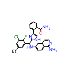 CCc1cc(Cl)c(F)c(C(Nc2ccc3c(N)nccc3c2)c2nc(-c3ccccc3C(N)=O)c[nH]2)c1